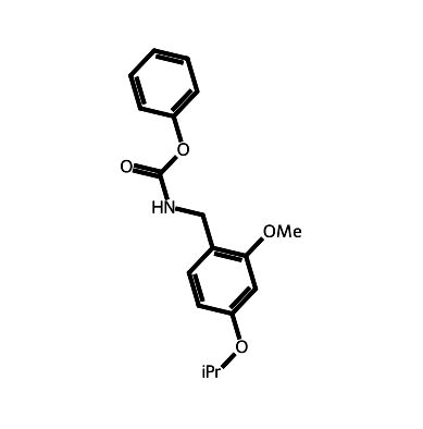 COc1cc(OC(C)C)ccc1CNC(=O)Oc1ccccc1